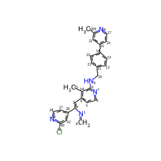 C=N/C(=C\c1ccnc(NCc2ccc(-c3ccnc(C)c3)cc2)c1C)c1ccnc(Cl)c1